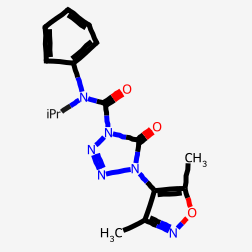 Cc1noc(C)c1-n1nnn(C(=O)N(c2ccccc2)C(C)C)c1=O